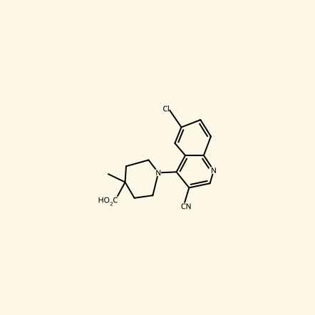 CC1(C(=O)O)CCN(c2c(C#N)cnc3ccc(Cl)cc23)CC1